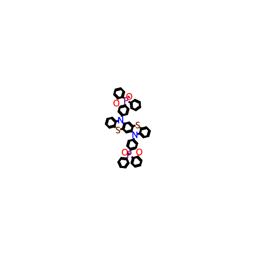 O=P1(c2ccccc2)c2ccccc2Oc2cc(-n3c4ccccc4sc4cc5c(cc43)sc3ccccc3n5-c3ccc4c(c3)Oc3ccccc3P4(=O)c3ccccc3)ccc21